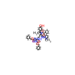 Cc1ccc(-c2ccccc2CC(=O)N([C@H](CCCNC(=NC(=O)OCc2ccccc2)NC(=O)OCc2ccccc2)C(N)=O)[C@H](C)c2ccc(O)cc2)cc1